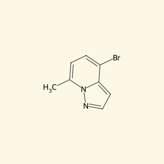 Cc1ccc(Br)c2ccnn12